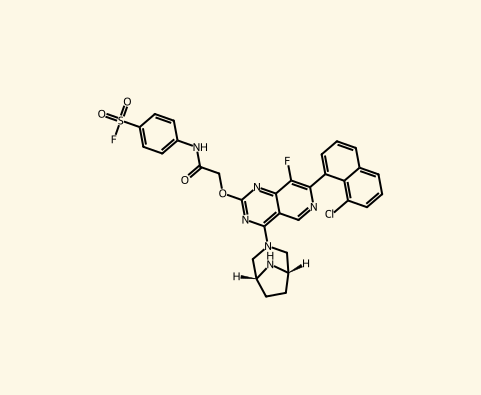 O=C(COc1nc(N2C[C@H]3CC[C@@H](C2)N3)c2cnc(-c3cccc4cccc(Cl)c34)c(F)c2n1)Nc1ccc(S(=O)(=O)F)cc1